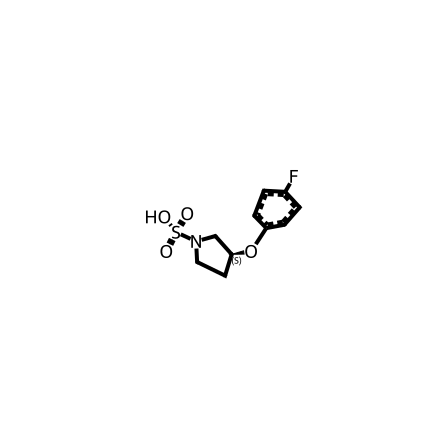 O=S(=O)(O)N1CC[C@H](Oc2ccc(F)cc2)C1